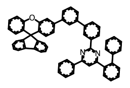 c1ccc(-c2cc(-c3ccccc3-c3ccccc3)nc(-c3cccc(-c4cccc(-c5ccc6c(c5)Oc5ccccc5C65c6ccccc6-c6ccccc65)c4)c3)n2)cc1